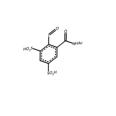 CC(=O)NC(=O)c1cc(S(=O)(=O)O)cc(S(=O)(=O)O)c1I=O